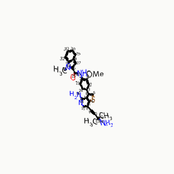 COc1cc(-c2csc3c(C#CC(C)(C)N)cnc(N)c23)ccc1NC(=O)c1cc2ccccc2n1C